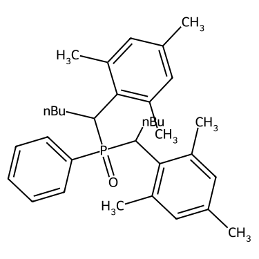 CCCCC(c1c(C)cc(C)cc1C)P(=O)(c1ccccc1)C(CCCC)c1c(C)cc(C)cc1C